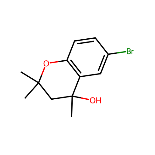 CC1(C)CC(C)(O)c2cc(Br)ccc2O1